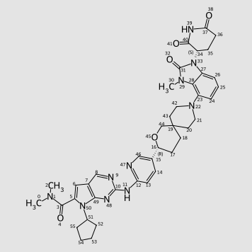 CN(C)C(=O)c1cc2cnc(Nc3ccc([C@H]4CCC5(CCN(c6cccc7c6n(C)c(=O)n7[C@H]6CCC(=O)NC6=O)CC5)CO4)cn3)nc2n1C1CCCC1